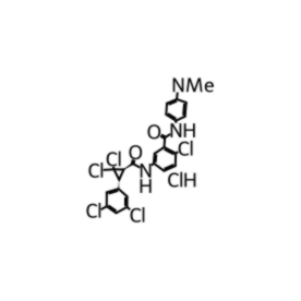 CNc1ccc(NC(=O)c2cc(NC(=O)[C@H]3[C@H](c4cc(Cl)cc(Cl)c4)C3(Cl)Cl)ccc2Cl)cc1.Cl